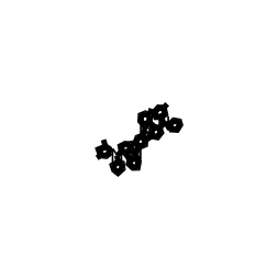 Cc1cc(C)cc(N(c2ccccc2)c2ccc3c4cc5c(cc4n4c6ccccc6c2c34)c2ccc(N(c3ccccc3)c3cc(C)cc(C)c3)c3c4ccccc4n5c23)c1